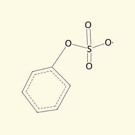 [O]S(=O)(=O)Oc1ccccc1